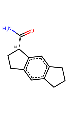 NC(=O)[C@H]1CCc2cc3c(cc21)CCC3